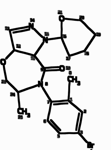 Cc1cc(Br)ccc1N1C(=O)C2C(C=NN2C2CCCCO2)OCC1C